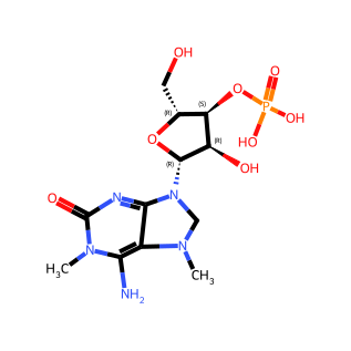 CN1CN([C@@H]2O[C@H](CO)[C@@H](OP(=O)(O)O)[C@H]2O)c2nc(=O)n(C)c(N)c21